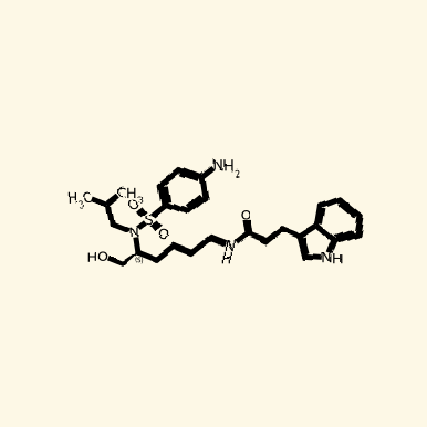 CC(C)CN([C@H](CO)CCCCNC(=O)CCc1c[nH]c2ccccc12)S(=O)(=O)c1ccc(N)cc1